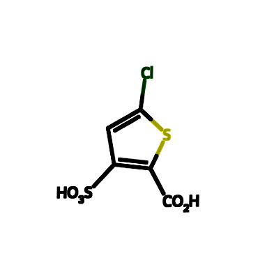 O=C(O)c1sc(Cl)cc1S(=O)(=O)O